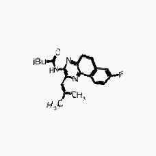 CCC(C)C(=O)Nc1nc2c(nc1C=C(C)C)-c1ccc(F)cc1CC2